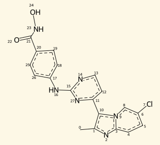 Cc1nc2ccc(Cl)cn2c1-c1ccnc(Nc2ccc(C(=O)NO)cc2)n1